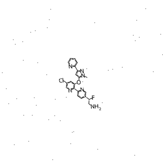 Cn1nc(-c2ccccn2)cc1Oc1cc(Cl)cnc1-c1ccc([C@@H](F)CN)cn1